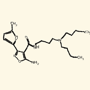 CCCCN(CCCC)CCCNC(=O)c1c(-c2ccc(C)o2)noc1N